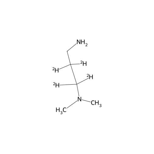 [2H]C([2H])(CN)C([2H])([2H])N(C)C